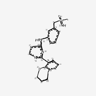 CS(=N)(=O)Cc1cccc(Nc2ncnc(-c3cccc4c3OCCC4)n2)c1